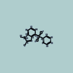 [CH2]c1cc2c(S(=O)(=O)c3ccccc3)cccc2n1C